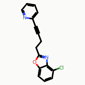 Clc1cccc2oc(CCC#Cc3ccccn3)nc12